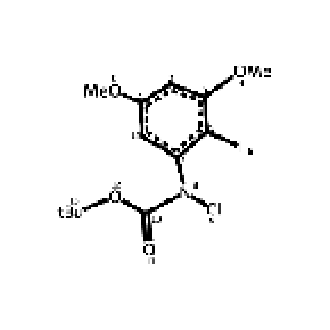 COc1cc(OC)c(I)c(N(Cl)C(=O)OC(C)(C)C)c1